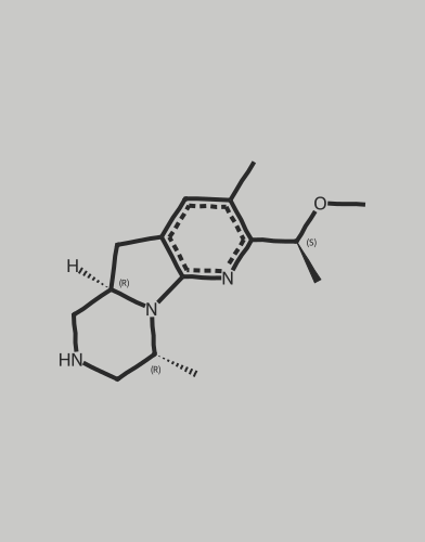 CO[C@@H](C)c1nc2c(cc1C)C[C@@H]1CNC[C@@H](C)N21